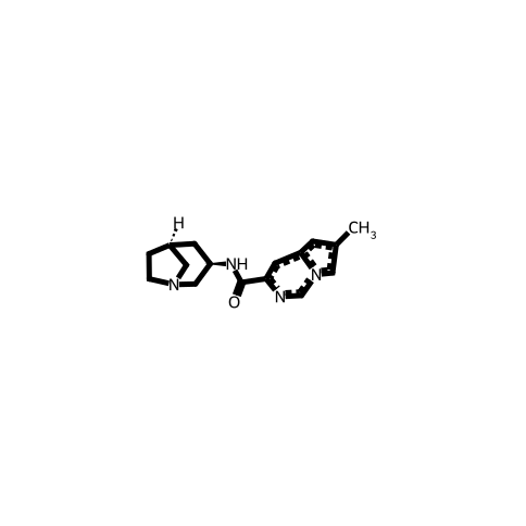 Cc1cc2cc(C(=O)N[C@@H]3C[C@@H]4CCN(C4)C3)ncn2c1